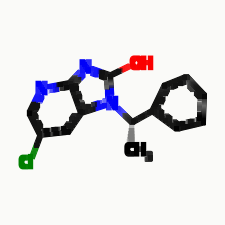 C[C@@H](c1ccccc1)n1c(O)nc2ncc(Cl)cc21